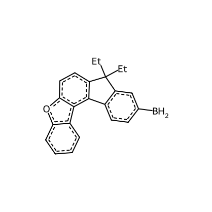 Bc1ccc2c(c1)C(CC)(CC)c1ccc3oc4ccccc4c3c1-2